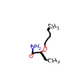 CC=C(OCCCC)C(N)=O